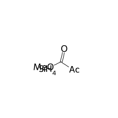 COC(=O)C(C)=O.[SiH4]